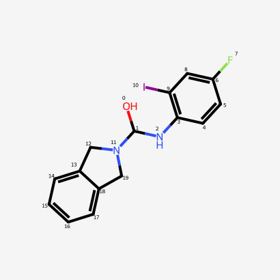 OC(Nc1ccc(F)cc1I)N1Cc2ccccc2C1